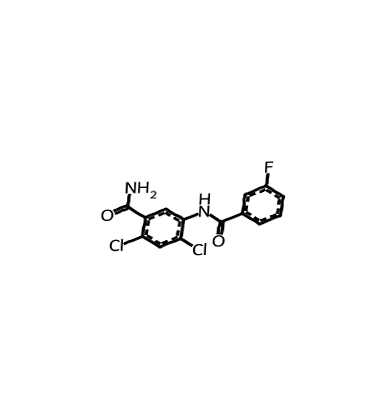 NC(=O)c1cc(NC(=O)c2cccc(F)c2)c(Cl)cc1Cl